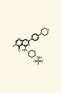 Cn1cnc2cc(-c3ccc(N4CCOCC4)cc3)nc(N[C@H]3CC[C@@H](NS(C)(=O)=O)CC3)c2c1=O